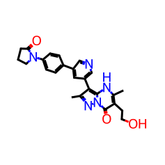 Cc1nn2c(=O)c(CCO)c(C)[nH]c2c1-c1cncc(-c2ccc(N3CCCC3=O)cc2)c1